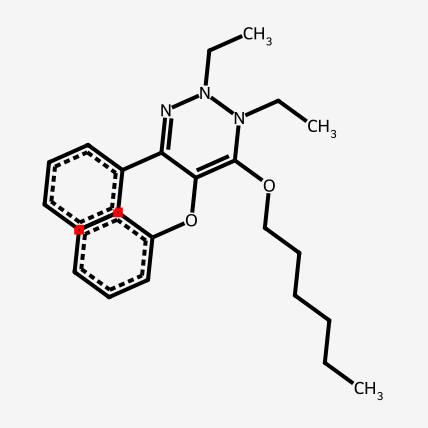 CCCCCCOC1=C(Oc2ccccc2)C(c2ccccc2)=NN(CC)N1CC